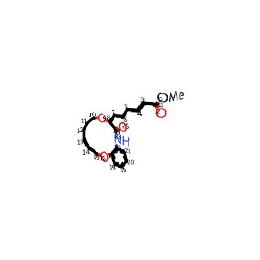 COC(=O)CCCCCC1OCCCCCCOc2ccccc2NC1=O